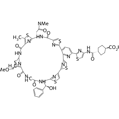 CNC(=O)C[C@@H]1NC(=O)c2csc(n2)-c2ccc(-c3nc(NC(=O)[C@H]4CC[C@H](C(=O)O)CC4)cs3)nc2-c2csc(n2)-c2csc(n2)[C@H]([C@@H](O)c2ccccc2)NC(=O)CNC(=O)C2=C(COC)SC(NC(=O)c3nc1sc3C)N2C